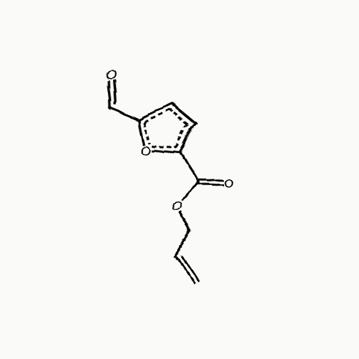 C=CCOC(=O)c1ccc(C=O)o1